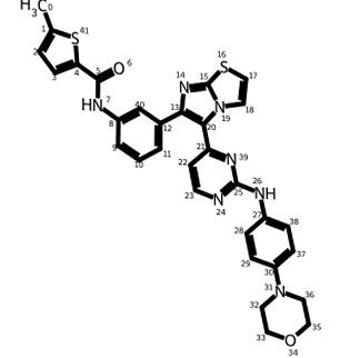 Cc1ccc(C(=O)Nc2cccc(-c3nc4sccn4c3-c3ccnc(Nc4ccc(N5CCOCC5)cc4)n3)c2)s1